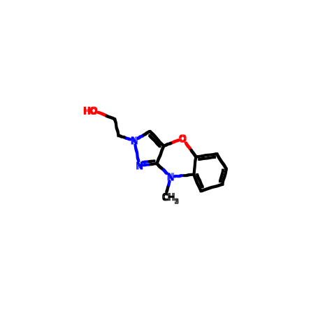 CN1c2ccccc2Oc2cn(CCO)nc21